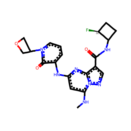 CNc1cc(Nc2cccn(C3COC3)c2=O)nc2c(C(=O)NC3CC[C@@H]3F)cnn12